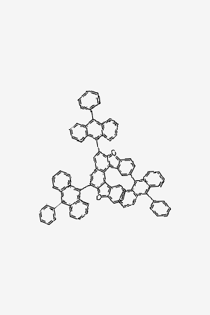 c1ccc(-c2c3ccccc3c(-c3ccc4oc5c(-c6c7ccccc7c(-c7ccccc7)c7ccccc67)cc6cc(-c7c8ccccc8c(-c8ccccc8)c8ccccc78)c7oc8ccccc8c7c6c5c4c3)c3ccccc23)cc1